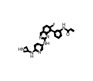 C=CC(=O)Nc1cccc(-c2c(F)ccc3cnc(Nc4ccc(NC5CNC5)nc4)nc23)c1